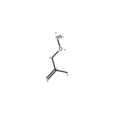 C=C(C)CO[CH]CC